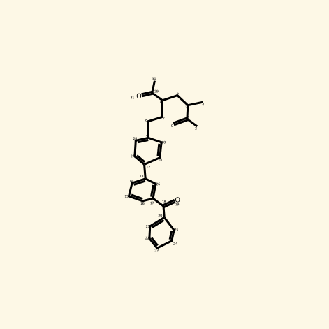 C=C(C)C(C)CC(CCc1ccc(-c2cccc(C(=O)c3ccccc3)c2)cc1)C(C)=O